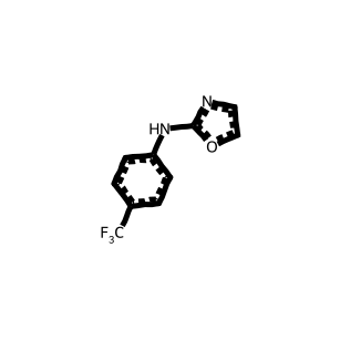 FC(F)(F)c1ccc(Nc2ncco2)cc1